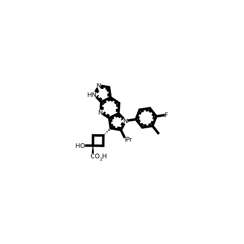 Cc1cc(-n2c(C(C)C)c([C@H]3C[C@](O)(C(=O)O)C3)c3nc4[nH]ncc4cc32)ccc1F